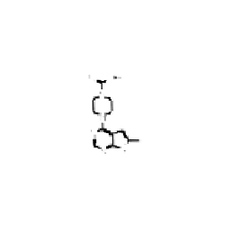 Cc1cc2c(N3CCN(C(=O)O)CC3)ncnc2s1